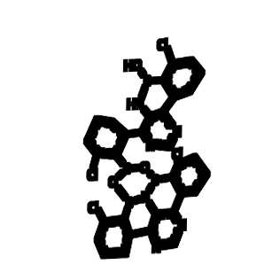 OB1Nc2c(ncnc2-c2cccc(Cl)c2B2OB3c4c(Cl)cccc4-c4ncnc5c4N3B(O2)c2c(Cl)cccc2-5)-c2cccc(Cl)c21